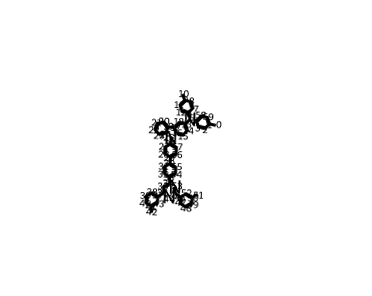 Cc1ccc(N(c2ccc(C)cc2)c2ccc3c(c2)c2ccccc2n3-c2ccc(-c3ccc(-c4cc(-c5cccc(C)c5)nc(-c5cccc(C)c5)n4)cc3)cc2)cc1